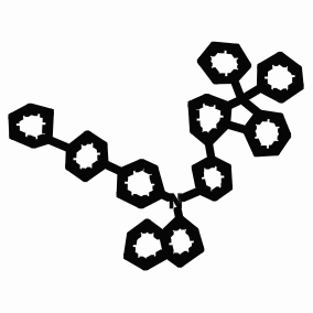 c1ccc(-c2ccc(-c3ccc(N(c4cccc(-c5cccc6c5-c5ccccc5C6(c5ccccc5)c5ccccc5)c4)c4cccc5ccccc45)cc3)cc2)cc1